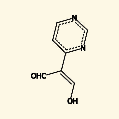 O=CC(=CO)c1ccncn1